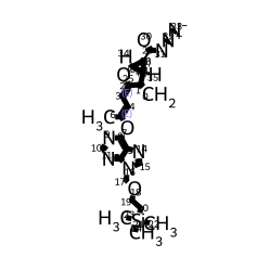 C=C1/C(=C\C=C(/C)Oc2ncnc3c2ncn3COCC[Si](C)(C)C)O[C@H]2[C@@H]1[C@@H]2C(=O)N=[N+]=[N-]